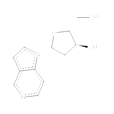 OC[C@H]1O[C@@H](n2ccc3cnccc32)C[C@@H]1O